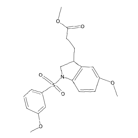 COC(=O)CCC1CN(S(=O)(=O)c2cccc(OC)c2)c2ccc(OC)cc21